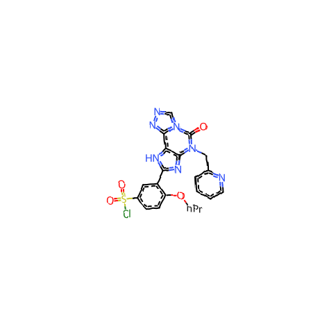 CCCOc1ccc(S(=O)(=O)Cl)cc1-c1nc2c([nH]1)c1nncn1c(=O)n2Cc1ccccn1